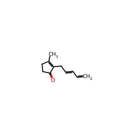 C=C/C=C/CC1=C(C)CCC1=O